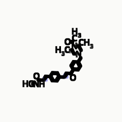 CC(=O)N1[C@H](C)CN(Cc2ccc(C(=O)/C=C/c3ccc(/C=C/C(=O)NO)cc3)cc2)C[C@@H]1C